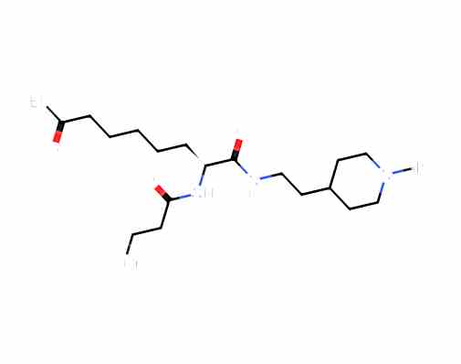 CCC(=O)CCCCC[C@H](NC(=O)CCC(C)C)C(=O)NCCC1CCN(C(C)C)CC1